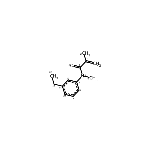 C=C(C)C(=O)N(C)c1cccc(CC)c1